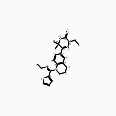 CCN=C(c1cccs1)N1CCCc2cc(C3=NN(CC)C(=O)SC3(C)C)ccc21